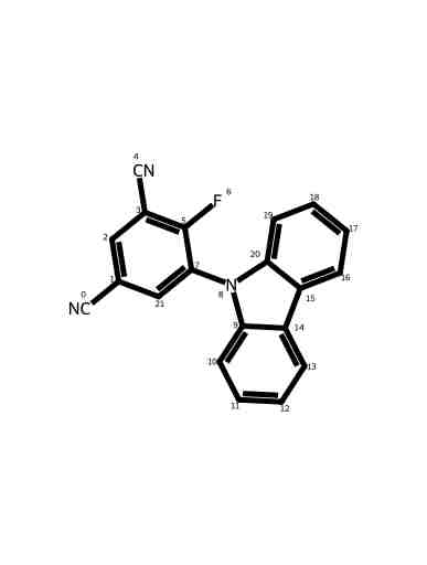 N#Cc1cc(C#N)c(F)c(-n2c3ccccc3c3ccccc32)c1